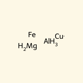 [AlH3].[Cu].[Fe].[MgH2]